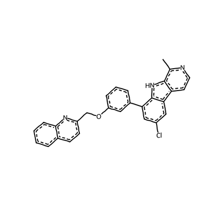 Cc1nccc2c1[nH]c1c(-c3cccc(OCc4ccc5ccccc5n4)c3)cc(Cl)cc12